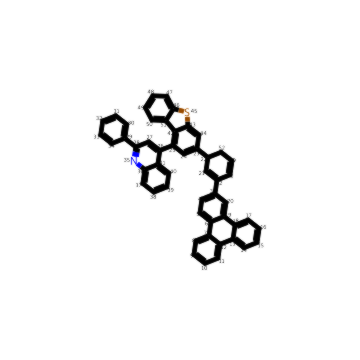 C1=CC(c2ccc3c4ccccc4c4ccccc4c3c2)=CC(c2cc(-c3cc(-c4ccccc4)nc4ccccc34)c3c(c2)sc2ccccc23)C1